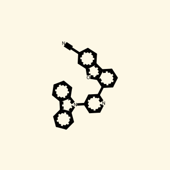 N#Cc1ccc2c(c1)oc1c(-c3cc(-n4c5ccccc5c5ccccc54)ccn3)cccc12